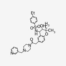 CCc1ccc(S(=O)(=O)NC2c3cc(CC(=O)N4CCN(Cc5cccnc5)CC4)ccc3OC(C)(C)C2O)cc1